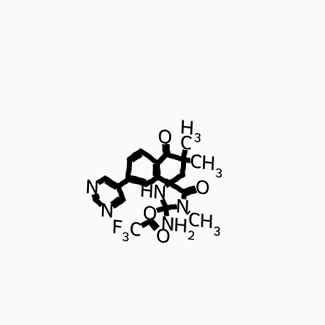 CN1C(=O)C2(CC(C)(C)C(=O)c3ccc(-c4cncnc4)cc32)NC1(N)OC(=O)C(F)(F)F